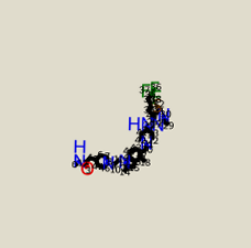 CNC(=O)CC1CCN([C@@H](C)Cn2c(C)cc3c(C)c(CN4CCC(Nc5nc(C)nc6sc(CC(F)(F)F)cc56)CC4)ccc32)CC1